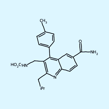 Cc1ccc(-c2c(CNC(=O)O)c(CC(C)C)nc3ccc(C(N)=O)cc23)cc1